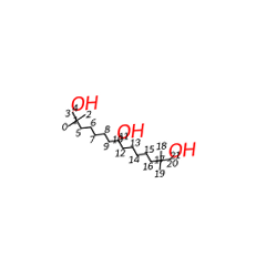 CC(C)(CO)CCCCCC(O)CCCCCC(C)(C)CO